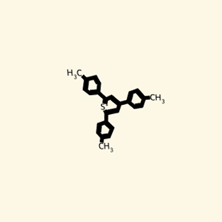 Cc1ccc(-c2cc(-c3ccc(C)cc3)[s+]c(-c3ccc(C)cc3)c2)cc1